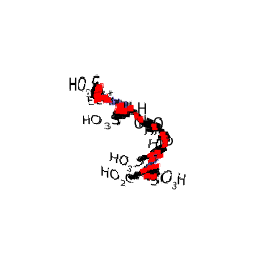 CC\[N+](=C(C)/C=C/C=C/C=C(\C)N(CCCCCC(=O)NCc1ccc(C(=O)NCc2ccc(C(=O)NCc3ccc(/[N+](CCCS(=O)(=O)O)=C(C)/C=C/C=C(\C)N(CCCCCC(=O)O)c4ccc(S(=O)(=O)O)cc4C)c(C)c3)cc2)cc1)c1ccc(S(=O)(=O)O)cc1C)c1ccc(S(=O)(=O)O)cc1C